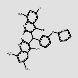 Cc1cc(C)c2oc(=O)c(C(c3cccc(Oc4ccccc4)c3)c3c(O)c4cc(C)cc(C)c4oc3=O)c(O)c2c1